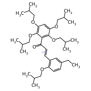 CCc1ccc(OCC(C)C)c(/C=C/C(=O)c2c(OCC(C)C)c(OCC(C)C)cc(OCC(C)C)c2OCC(C)C)c1